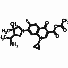 CC(N)C1CN(c2cc3c(cc2F)c(=O)c(C(=O)OC(=O)C(F)(F)F)cn3C2CC2)CC1(C)C